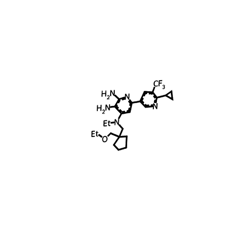 CCOCC1(CN(CC)c2cc(-c3cnc(C4CC4)c(C(F)(F)F)c3)nc(N)c2N)CCCC1